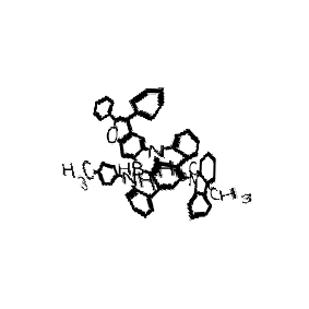 Cc1ccc(Nc2ccccc2-c2cc(N3c4ccccc4C4(C)CCCCC34C)c3c4ccccc4n4c3c2Bc2cc3oc(-c5ccccc5)c(-c5ccccc5)c3cc2-4)cc1